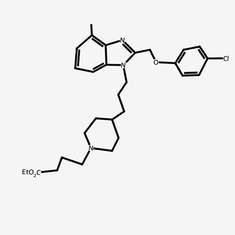 CCOC(=O)CCCN1CCC(CCCn2c(COc3ccc(Cl)cc3)nc3c(C)cccc32)CC1